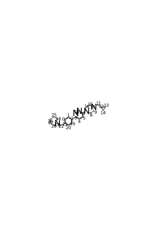 c1cc(-c2ccc(N3CCN(CC4CC4)CC3)nn2)ccc1CN1CCCCC1